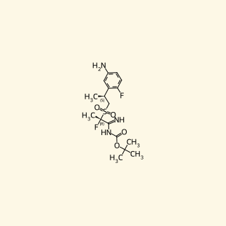 C[C@H](CS(=O)(=O)[C@@](C)(F)C(=N)NC(=O)OC(C)(C)C)c1cc(N)ccc1F